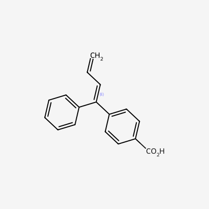 C=C/C=C(\c1ccccc1)c1ccc(C(=O)O)cc1